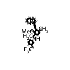 C=C(Nc1cccc(CC(F)(F)F)c1)c1ccc(C)c(C#Cc2cnc3cccnn23)c1OC